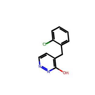 Oc1nnccc1Cc1ccccc1Cl